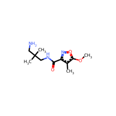 COc1onc(C(=O)NCC(C)(C)CN)c1C